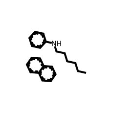 CCCCCCNc1ccccc1.c1ccc2ccccc2c1